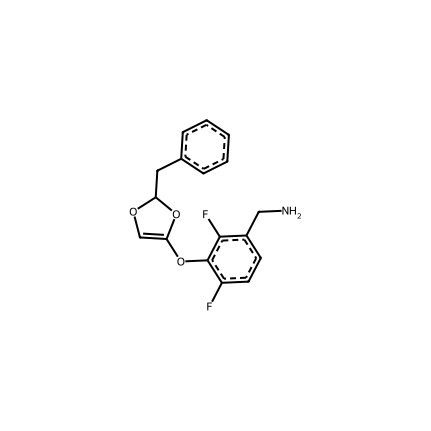 NCc1ccc(F)c(OC2=COC(Cc3ccccc3)O2)c1F